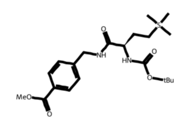 COC(=O)c1ccc(CNC(=O)[C@@H](CCS(C)(C)C)NC(=O)OC(C)(C)C)cc1